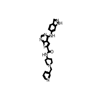 O=C(NC1CCN(Cc2cccnc2)CC1)c1cc2c(Nc3ccc4cn[nH]c4c3)ncnc2s1